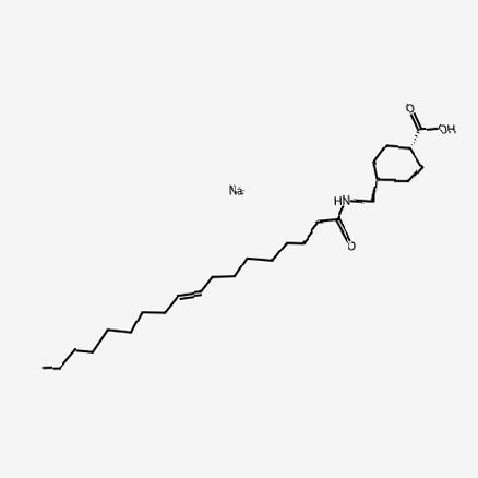 CCCCCCCCC=CCCCCCCCC(=O)NC[C@H]1CC[C@H](C(=O)O)CC1.[Na]